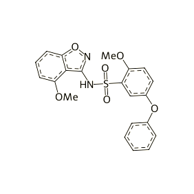 COc1ccc(Oc2ccccc2)cc1S(=O)(=O)Nc1noc2cccc(OC)c12